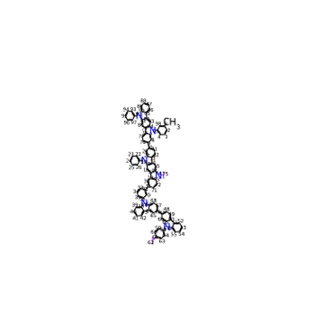 Cc1cccc(-n2c3cc(-c4ccc5c6cc7c(cc6n(-c6ccccc6)c5c4)c4cc(-c5cccc(-n6c8ccccc8c8cc(-c9ccc%10c%11ccccc%11n(-c%11ccc(I)cc%11)c%10c9)ccc86)c5)ccc4n7I)ccc3c3cc4c(cc32)c2ccccc2n4-c2ccccc2)c1